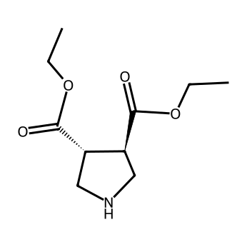 CCOC(=O)[C@H]1CNC[C@@H]1C(=O)OCC